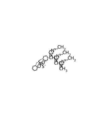 C=CC[n+]1ccn(C)c1.C=CC[n+]1ccn(C)c1.C=CC[n+]1ccn(C)c1.[O-]P([O-])([S-])=S(Cc1ccccc1)Cc1ccccc1